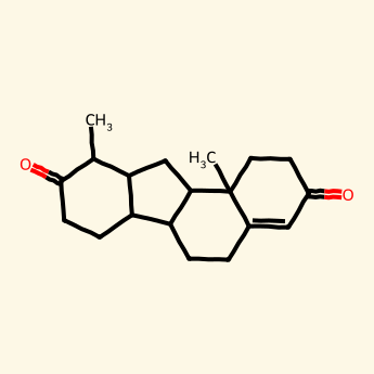 CC1C(=O)CCC2C1CC1C2CCC2=CC(=O)CCC21C